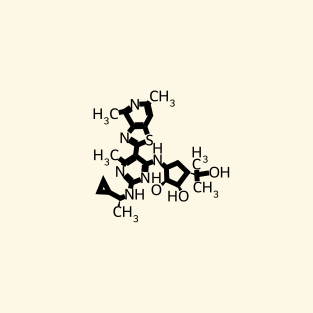 Cc1cc2sc(-c3c(C)nc(N[C@H](C)C4CC4)nc3NC3C[C@H](C(C)(C)O)[C@@H](O)[C@H]3O)nc2c(C)n1